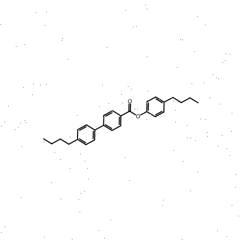 CCCCc1ccc(OC(=O)c2ccc(-c3ccc(CCCC)cc3)cc2)cc1